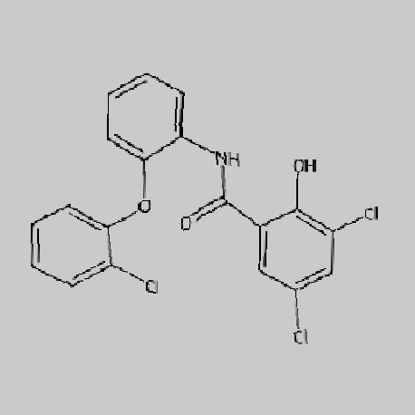 O=C(Nc1ccccc1Oc1ccccc1Cl)c1cc(Cl)cc(Cl)c1O